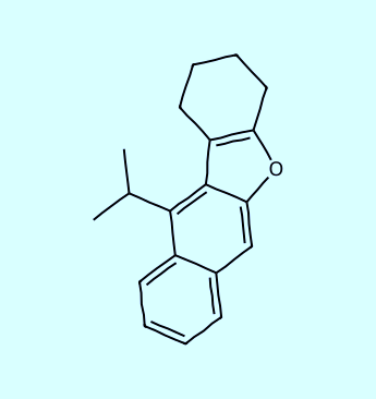 CC(C)c1c2ccccc2cc2oc3c(c12)CCCC3